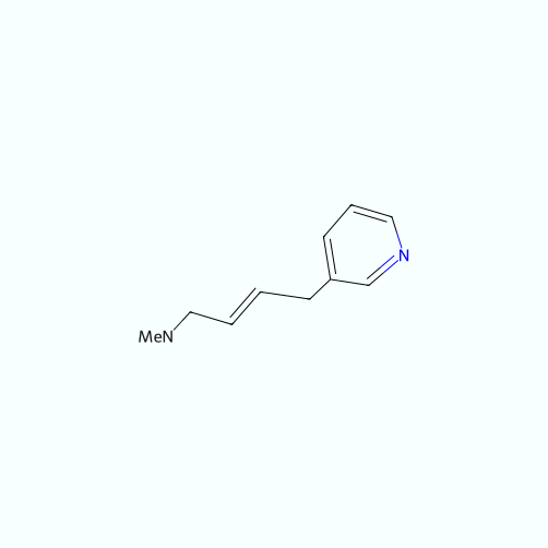 CNC/C=C/Cc1cccnc1